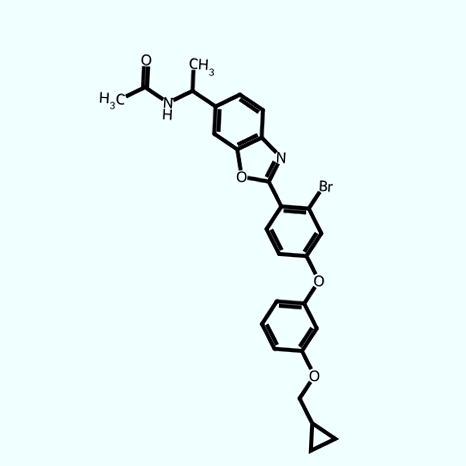 CC(=O)NC(C)c1ccc2nc(-c3ccc(Oc4cccc(OCC5CC5)c4)cc3Br)oc2c1